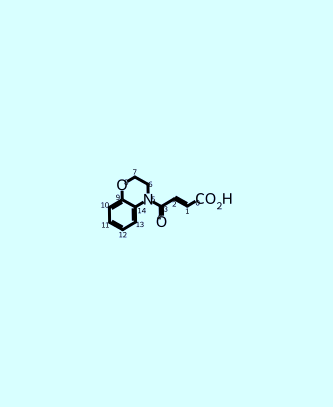 O=C(O)/C=C/C(=O)N1CCOc2ccccc21